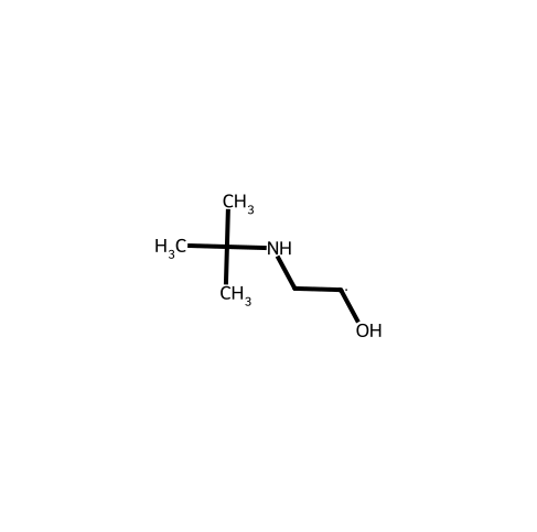 CC(C)(C)NC[CH]O